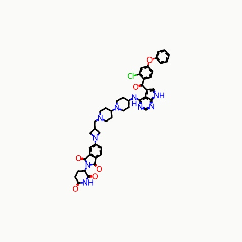 O=C1CCC(N2C(=O)c3ccc(N4CC(CN5CCC(N6CCC(Nc7ncnc8[nH]cc(C(=O)c9ccc(Oc%10ccccc%10)cc9Cl)c78)CC6)CC5)C4)cc3C2=O)C(=O)N1